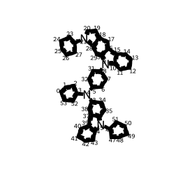 c1ccc(N(c2ccc(-n3c4ccccc4c4cc5ccn(-c6ccccc6)c5cc43)cc2)c2ccc3c(c2)c2ccccc2n3-c2ccccc2)cc1